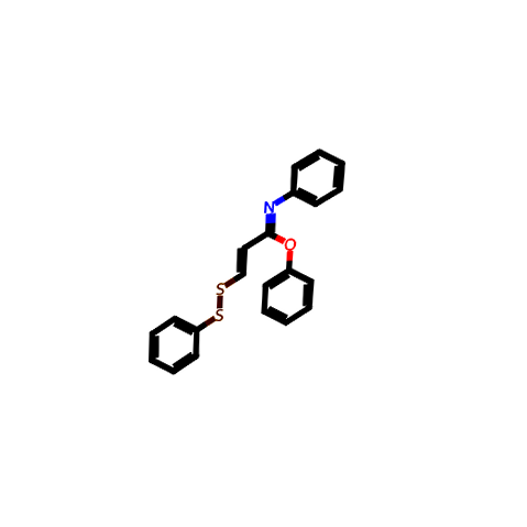 C(=C\C(=N\c1ccccc1)Oc1ccccc1)/SSc1ccccc1